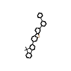 CC1(C)c2ccccc2-c2ccc(-c3ccc4c(c3)sc3cc(-c5cccc(-c6ccccc6)c5)ccc34)cc21